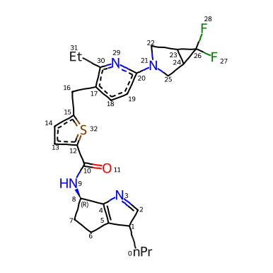 CCCC1C=NC2=C1CC[C@H]2NC(=O)c1ccc(Cc2ccc(N3CC4C(C3)C4(F)F)nc2CC)s1